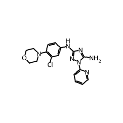 Nc1nc(Nc2ccc(N3CCOCC3)c(Cl)c2)nn1-c1ccccn1